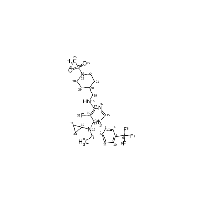 CC(c1ccc(C(F)(F)F)cc1)N(c1ncnc(NCC2CCN(S(C)(=O)=O)CC2)c1F)C1CC1